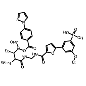 CCCCCC(C(=O)NCNC(=O)c1ccc(-c2cc(OCC)cc(P(=O)(O)O)c2)o1)[C@@H](CC)N(C=O)OC(=O)c1ccc(-n2cccn2)cc1